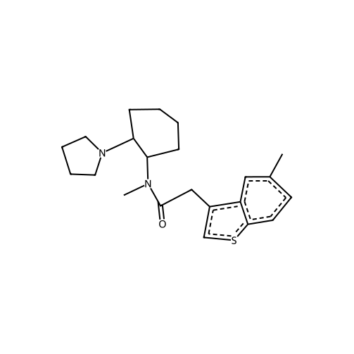 Cc1ccc2scc(CC(=O)N(C)C3CCCCC3N3CCCC3)c2c1